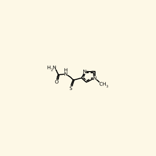 Cn1cnc(C(=S)NC(N)=O)c1